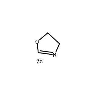 C1=NCCO1.[Zn]